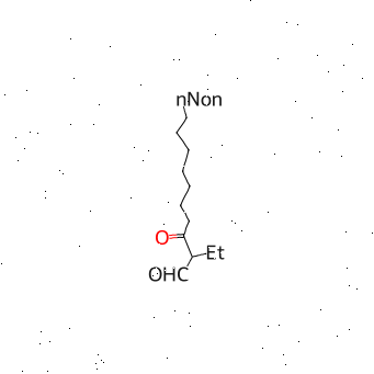 CCCCCCCCCCCCCCCCC(=O)C(C=O)CC